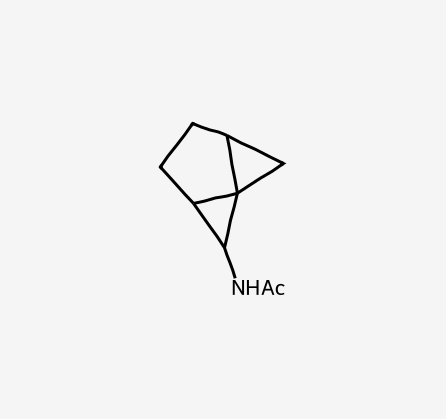 CC(=O)NC1C2CCC3CC321